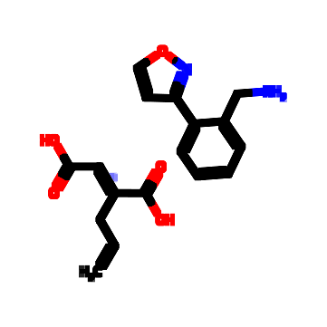 C=CC/C(=C\C(=O)O)C(=O)O.NCc1ccccc1-c1ccon1